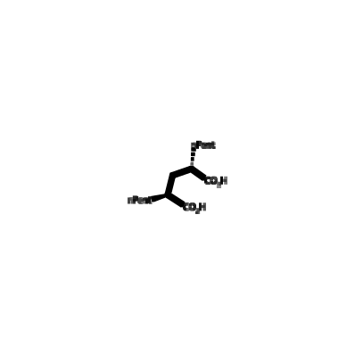 CCCCC[C@@H](C[C@H](CCCCC)C(=O)O)C(=O)O